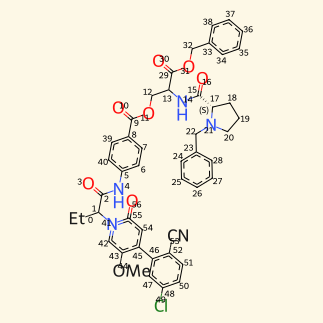 CCC(C(=O)Nc1ccc(C(=O)OCC(NC(=O)[C@@H]2CCCN2Cc2ccccc2)C(=O)OCc2ccccc2)cc1)n1cc(OC)c(-c2cc(Cl)ccc2C#N)cc1=O